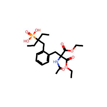 CCOC(=O)C(Cc1ccccc1CC(CC)(CC)P(=O)(O)O)(NC(C)=O)C(=O)OCC